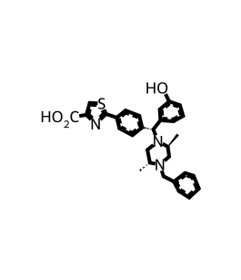 C[C@@H]1CN([C@H](c2ccc(-c3nc(C(=O)O)cs3)cc2)c2cccc(O)c2)[C@@H](C)CN1Cc1ccccc1